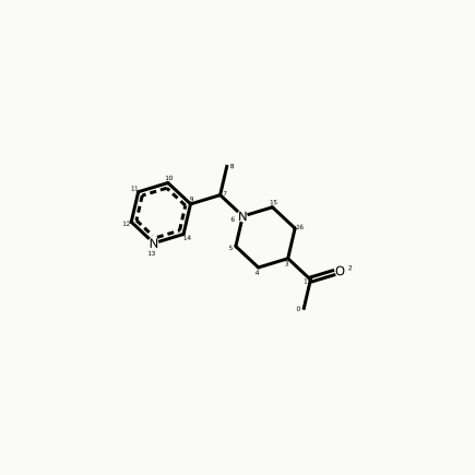 CC(=O)C1CCN(C(C)c2cccnc2)CC1